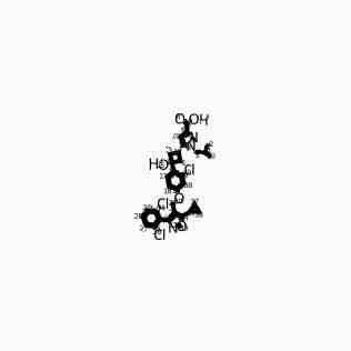 CC(C)Cn1nc(C(=O)O)cc1[C@H]1C[C@](O)(c2ccc(OCc3c(-c4c(Cl)cccc4Cl)noc3C3CC3)cc2Cl)C1